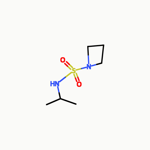 CC(C)NS(=O)(=O)N1CCC1